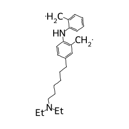 [CH2]c1ccccc1Nc1ccc(CCCCCCN(CC)CC)cc1[CH2]